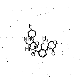 CCc1c(N2CCOCC2=O)cccc1S(=O)(=O)N[C@@H](CN)C(=O)N1CCC(F)CC1